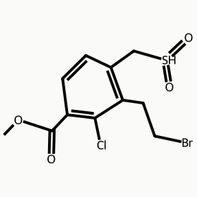 COC(=O)c1ccc(C[SH](=O)=O)c(CCBr)c1Cl